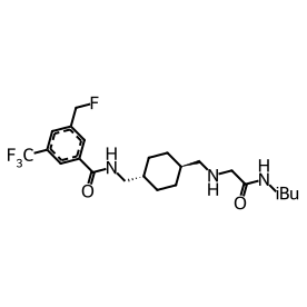 CCC(C)NC(=O)CNC[C@H]1CC[C@H](CNC(=O)c2cc(CF)cc(C(F)(F)F)c2)CC1